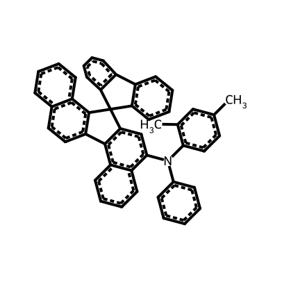 Cc1ccc(N(c2ccccc2)c2cc3c(c4ccccc24)-c2ccc4ccccc4c2C32c3ccccc3-c3ccccc32)c(C)c1